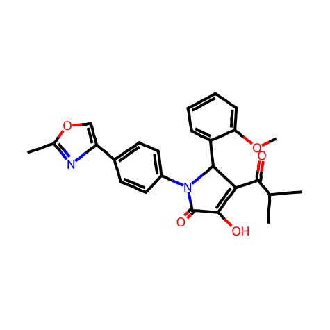 COc1ccccc1C1C(C(=O)C(C)C)=C(O)C(=O)N1c1ccc(-c2coc(C)n2)cc1